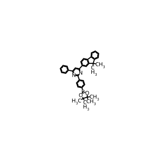 CC1(C)c2ccccc2-c2ccc(-c3cc(-c4ccccc4)nc(-c4ccc(B5OC(C)(C)C(C)(C)O5)cc4)n3)cc21